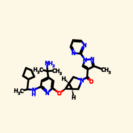 Cc1nn(-c2ncccn2)cc1C(=O)N1C[C@@H]2[C@H](C1)[C@@H]2Oc1cc(C(C)(C)N)cc(NC(C)C2CCCC2)n1